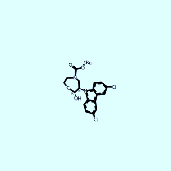 CC(C)(C)OC(=O)N1CCC[C@@H](O)[C@H](n2c3ccc(Cl)cc3c3cc(Cl)ccc32)C1